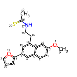 COc1ccc2cc(-c3ccco3)cc(CCNC(C)=S)c2c1